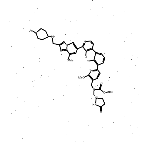 COc1nc(-c2cccc(-c3ccnc(-c4cc(OC)c5nc(CNC6CCN(C(C)=O)CC6)cn5c4)c3Cl)c2Cl)ccc1CN(C[C@@H]1CCC(=O)N1)C(=O)OC(C)(C)C